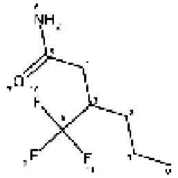 CCCC(CC(N)=O)C(F)(F)F